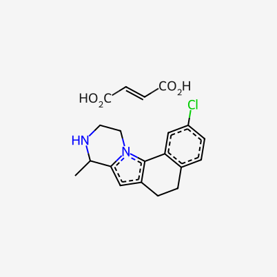 CC1NCCn2c1cc1c2-c2cc(Cl)ccc2CC1.O=C(O)/C=C/C(=O)O